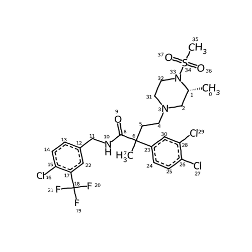 C[C@@H]1CN(CCC(C)(C(=O)NCc2ccc(Cl)c(C(F)(F)F)c2)c2ccc(Cl)c(Cl)c2)CCN1S(C)(=O)=O